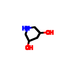 OC1CNCC(O)C1